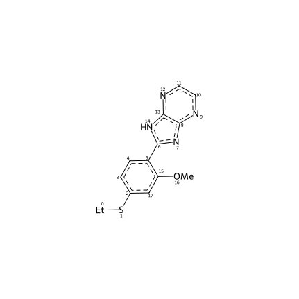 CCSc1ccc(-c2nc3nccnc3[nH]2)c(OC)c1